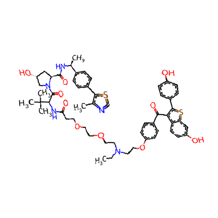 CCN(CCOCCOCCC(=O)N[C@H](C(=O)N1C[C@H](O)C[C@H]1C(=O)N[C@@H](C)c1ccc(-c2scnc2C)cc1)C(C)(C)C)CCOc1ccc(C(=O)c2c(-c3ccc(O)cc3)sc3cc(O)ccc23)cc1